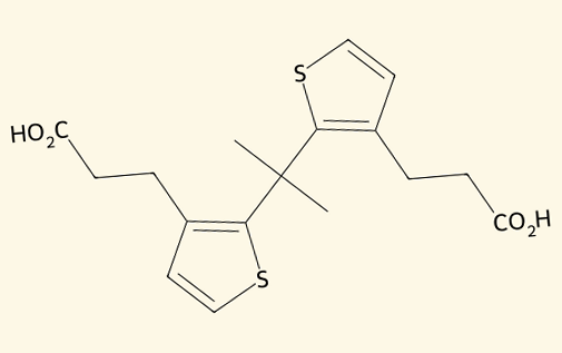 CC(C)(c1sccc1CCC(=O)O)c1sccc1CCC(=O)O